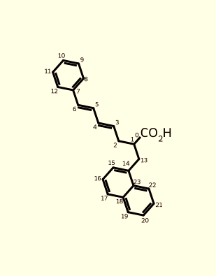 O=C(O)C(CC=CC=Cc1ccccc1)Cc1cccc2ccccc12